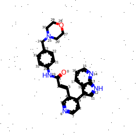 O=C(/C=C/c1cnccc1-c1c[nH]c2ncccc12)Nc1ccc(CN2CCOCC2)cc1